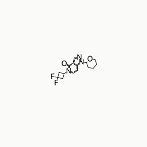 O=c1c2cnn(C3CCCCO3)c2ccn1C1CC(F)(F)C1